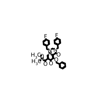 CON(C)C(=O)c1cn2c(c(OCc3ccccc3)c1=O)C(=O)N(Cc1ccc(F)cc1)CN2Cc1ccc(F)cc1